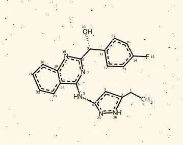 CCc1cc(Nc2nc([C@H](O)c3ccc(F)cc3)nc3ccccc23)n[nH]1